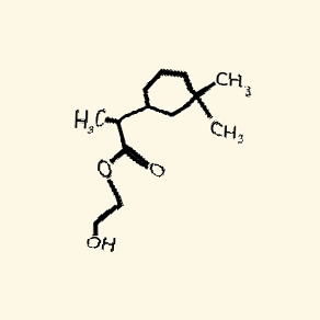 CC(C(=O)OCCO)C1CCCC(C)(C)C1